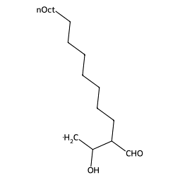 [CH2]C(O)C(C=O)CCCCCCCCCCCCCCC